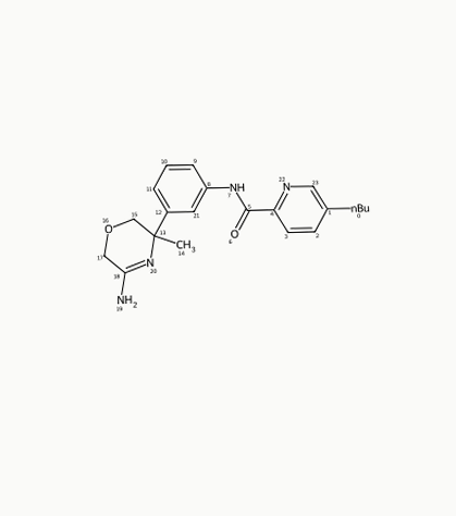 CCCCc1ccc(C(=O)Nc2cccc(C3(C)COCC(N)=N3)c2)nc1